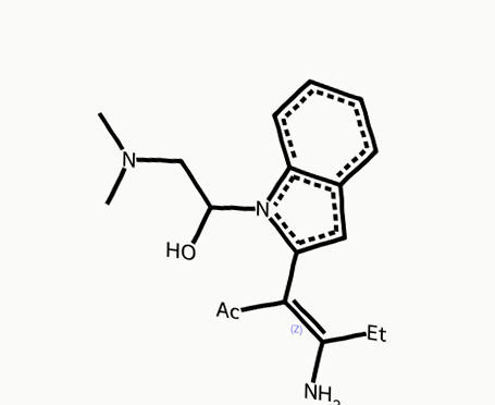 CC/C(N)=C(/C(C)=O)c1cc2ccccc2n1C(O)CN(C)C